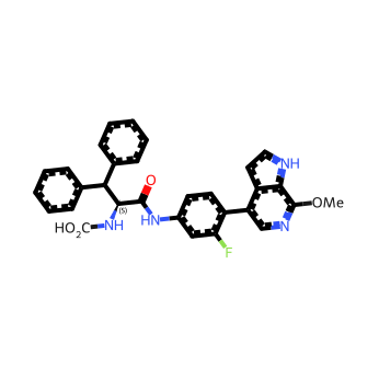 COc1ncc(-c2ccc(NC(=O)[C@@H](NC(=O)O)C(c3ccccc3)c3ccccc3)cc2F)c2cc[nH]c12